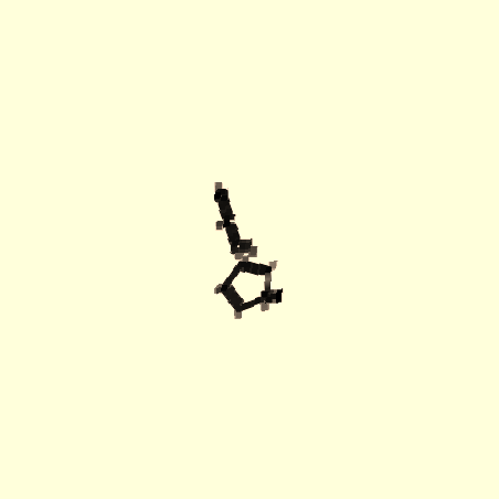 C=C=O.c1cc[nH]c1